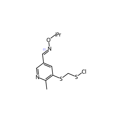 Cc1ncc(/C=N/OC(C)C)cc1SCSCl